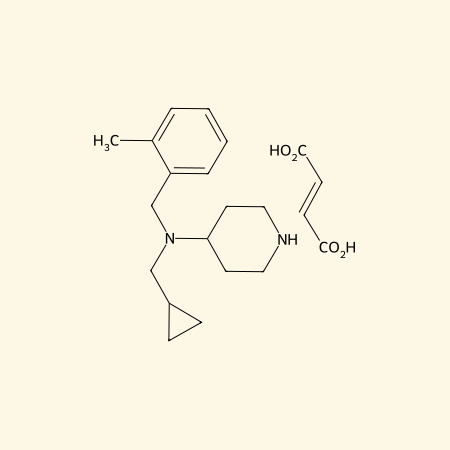 Cc1ccccc1CN(CC1CC1)C1CCNCC1.O=C(O)/C=C/C(=O)O